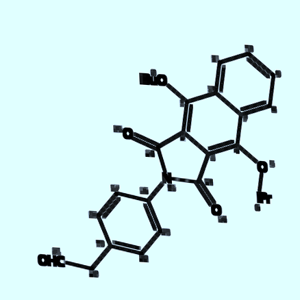 CC(C)COc1c2c(c(OC(C)C)c3ccccc13)C(=O)N(c1ccc(CC=O)cc1)C2=O